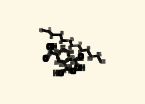 CCCCCCCCCCCCC.O=C(O)c1ccc(C(=O)O)c(C(=O)O)c1